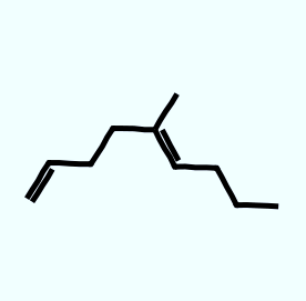 C=CCCC(C)=CCCC